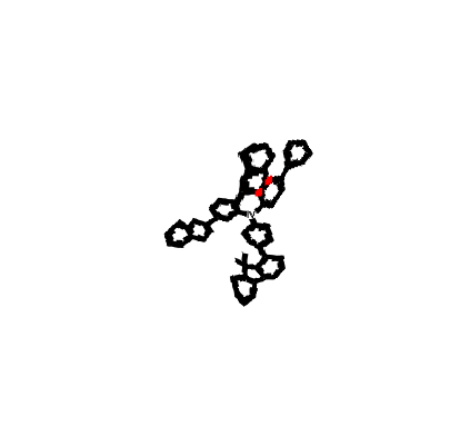 CC1(C)c2ccccc2-c2cccc(-c3ccc(N(c4ccc(-c5ccccc5)cc4)c4cc(-c5ccc6ccccc6c5)ccc4-c4ccc5ccccc5c4)cc3)c21